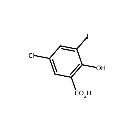 O=C(O)c1cc(Cl)cc(I)c1O